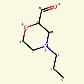 CCCN1CCOC([C]=O)C1